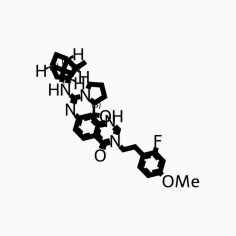 COc1ccc(CCn2cnc3cc(N=C(N[C@H]4C[C@H]5C[C@H]([C@H]4C)C5(C)C)N4CCC[C@H]4CO)ccc3c2=O)c(F)c1